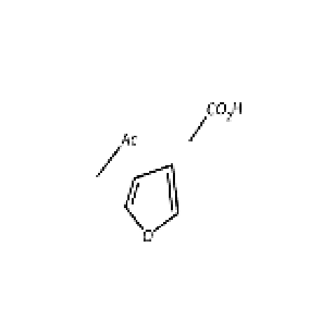 CC(=O)O.CC(C)=O.c1ccoc1